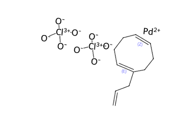 C=CC/C1=C/CC/C=C\CC1.[O-][Cl+3]([O-])([O-])[O-].[O-][Cl+3]([O-])([O-])[O-].[Pd+2]